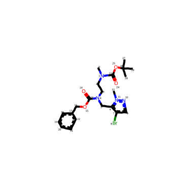 CN(CCN(Cc1c(Br)cnn1C)C(=O)OCc1ccccc1)C(=O)OC(C)(C)C